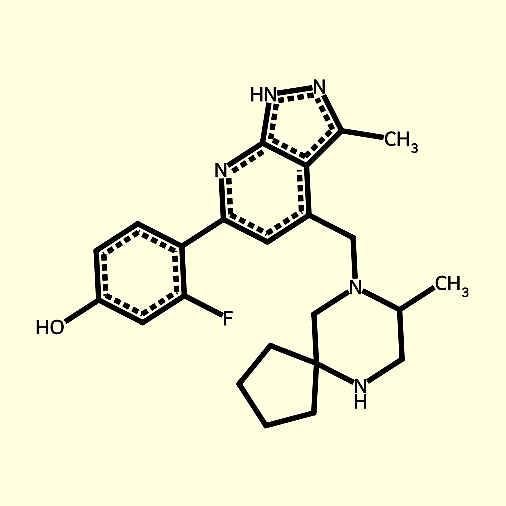 Cc1n[nH]c2nc(-c3ccc(O)cc3F)cc(CN3CC4(CCCC4)NCC3C)c12